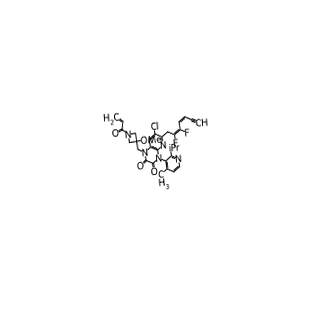 C#C/C=C\C(F)=C(\F)Cc1nc2c(cc1Cl)n(CC1(OC)CN(C(=O)C=C)C1)c(=O)c(=O)n2-c1c(C)ccnc1C(C)C